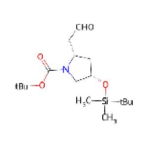 CC(C)(C)OC(=O)N1C[C@@H](O[Si](C)(C)C(C)(C)C)C[C@H]1CC=O